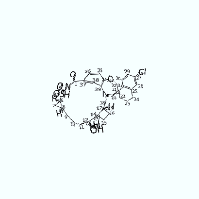 O=C1NS(=O)(=O)[C@H]2C[C@@H]2CCC[C@H](O)[C@@H]2CC[C@H]2CN2C[C@@]3(CCCc4cc(Cl)ccc43)COc3ccc1cc32